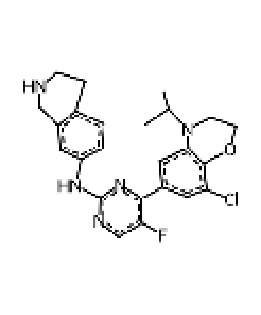 CC(C)N1CCOc2c(Cl)cc(-c3nc(Nc4ccc5c(c4)CNCC5)ncc3F)cc21